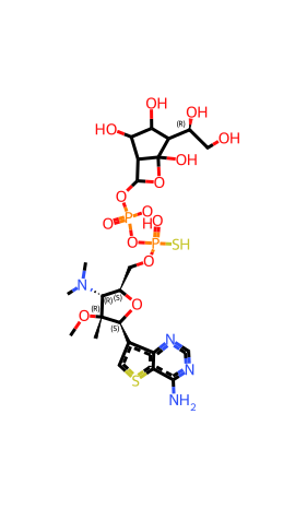 CO[C@@]1(C)[C@H](c2csc3c(N)ncnc23)O[C@H](COP(=O)(S)OP(=O)(O)OC2OC3(O)C2C(O)C(O)C3[C@@H](O)CO)[C@H]1N(C)C